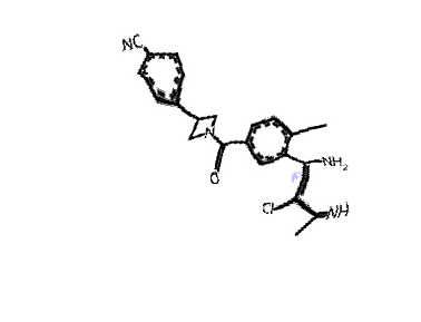 CC(=N)/C(Cl)=C(\N)c1cc(C(=O)N2CC(c3ccc(C#N)cc3)C2)ccc1C